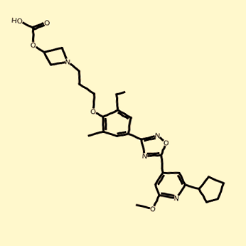 CCc1cc(-c2noc(-c3cc(OC)nc(C4CCCC4)c3)n2)cc(C)c1OCCCN1CC(OC(=O)O)C1